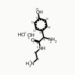 Cl.Cl.NCCNC(=O)C(N)c1ccc(O)cc1